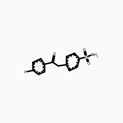 NS(=O)(=O)c1ccc(CC(=O)c2ccc(F)cc2)cc1